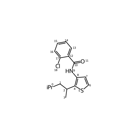 CC(C)CC(C)c1sccc1NC(=O)c1ccccc1Cl